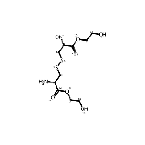 NC(CSSCC(N=O)C(=O)OCCO)C(=O)OCCO